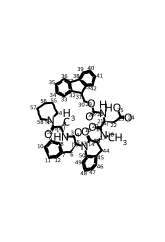 C[C@H](NC(=O)[C@H](Cc1ccccc1)N1C(=O)[C@@H](N(C)C(=O)[C@H](CC(=O)O)NC(=O)OCC2c3ccccc3-c3ccccc32)Cc2ccccc21)C(=O)N1CCCCC1